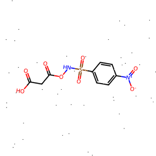 O=C(O)CC(=O)ONS(=O)(=O)c1ccc([N+](=O)[O-])cc1